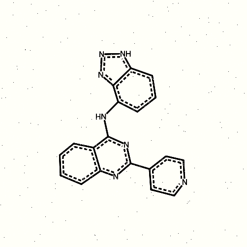 c1ccc2c(Nc3cccc4[nH]nnc34)nc(-c3ccncc3)nc2c1